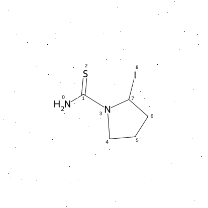 NC(=S)N1CCCC1I